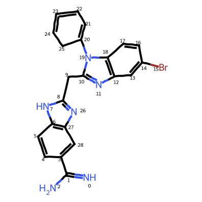 N=C(N)c1ccc2[nH]c(Cc3nc4cc(Br)ccc4n3C3=CC=C=CC3)nc2c1